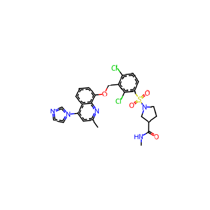 CNC(=O)C1CCN(S(=O)(=O)c2ccc(Cl)c(COc3cccc4c(-n5ccnc5)cc(C)nc34)c2Cl)C1